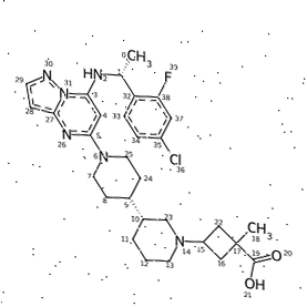 C[C@@H](Nc1cc(N2CCC([C@H]3CCCN(C4CC(C)(C(=O)O)C4)C3)CC2)nc2ccnn12)c1ccc(Cl)cc1F